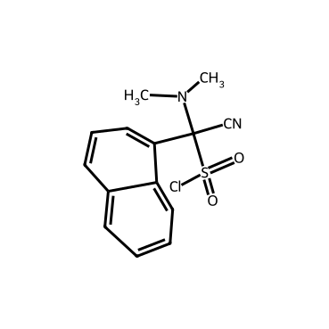 CN(C)C(C#N)(c1cccc2ccccc12)S(=O)(=O)Cl